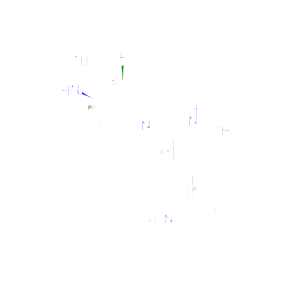 CN/C(=C\C=C(/N)I)N1CC[C@@H](NC)[C@@H](F)C1